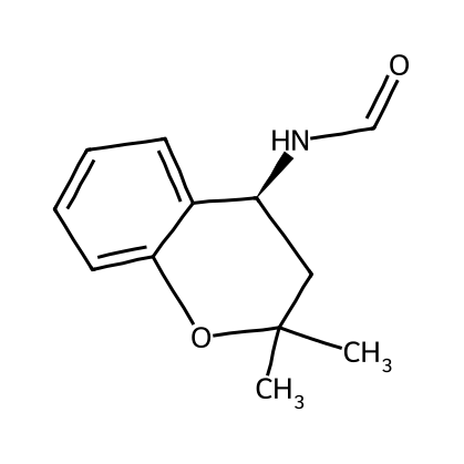 CC1(C)C[C@H](NC=O)c2ccccc2O1